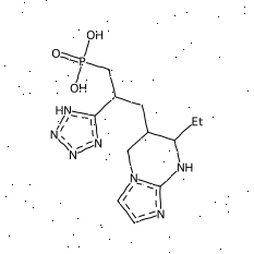 CCC1Nc2nccn2CC1CC(CP(=O)(O)O)c1nnn[nH]1